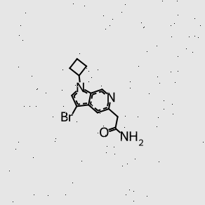 NC(=O)Cc1cc2c(Br)cn(C3CCC3)c2cn1